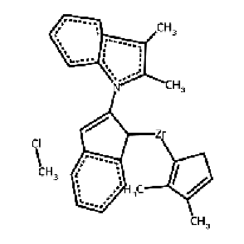 CC1=CC[C]([Zr][CH]2C(n3c(C)c(C)c4ccccc43)=Cc3ccccc32)=C1C.CCl